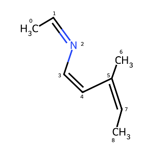 C\C=N/C=C\C(C)=C/C